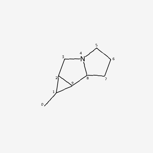 CC1C2CN3CCCC3C12